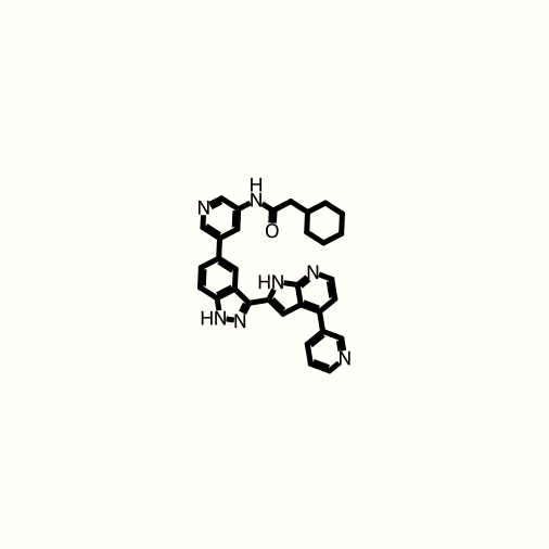 O=C(CC1CCCCC1)Nc1cncc(-c2ccc3[nH]nc(-c4cc5c(-c6cccnc6)ccnc5[nH]4)c3c2)c1